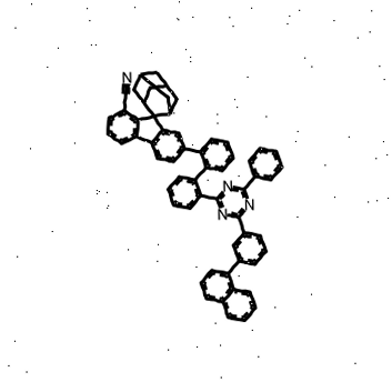 N#Cc1cccc2c1C1(c3cc(-c4ccccc4-c4ccccc4-c4nc(-c5ccccc5)nc(-c5cccc(-c6cccc7ccccc67)c5)n4)ccc3-2)C2CC3CC(C2)CC1C3